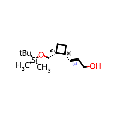 CC(C)(C)[Si](C)(C)OC[C@@H]1CC[C@@H]1/C=C/CO